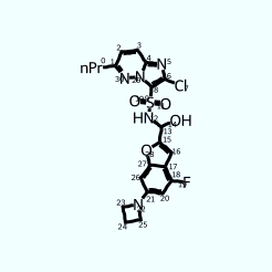 CCCc1ccc2nc(Cl)c(S(=O)(=O)NC(O)c3cc4c(F)cc(N5CCC5)cc4o3)n2n1